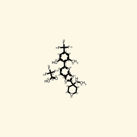 CNC1(c2nc3nc(-c4c(C)cc(C(F)(F)F)cc4O)ccc3o2)CCOCC1.O=C(O)C(F)(F)F